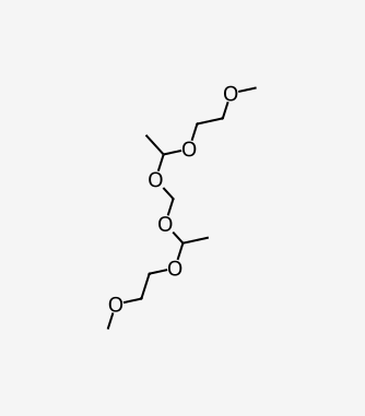 COCCOC(C)OCOC(C)OCCOC